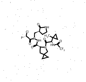 CC1([C@H](NC(=O)C(F)(F)F)C(=O)N2CC3(CC3)C[C@H]2C(=O)NN(C[C@@H]2CCNC2=O)C(=O)[C@H](F)Cl)CC1